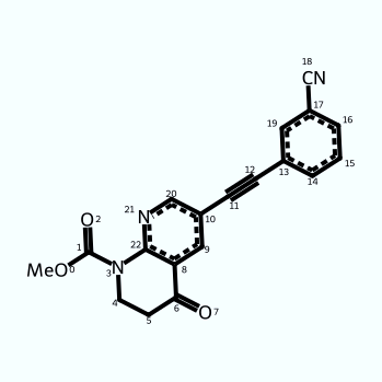 COC(=O)N1CCC(=O)c2cc(C#Cc3cccc(C#N)c3)cnc21